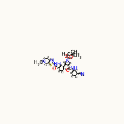 CN1CCc2nc(NC(=O)c3cccc([C@H]4CN(C(=O)OC(C)(C)C)C[C@@H]4C(=O)Nc4cccc(C#N)c4)c3)sc2C1